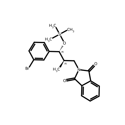 C[C@H](CN1C(=O)c2ccccc2C1=O)[C@@H](O[Si](C)(C)C)c1cccc(Br)c1